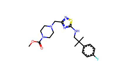 COC(=O)N1CCN(Cc2nsc(NCC(C)(C)c3ccc(F)cc3)n2)CC1